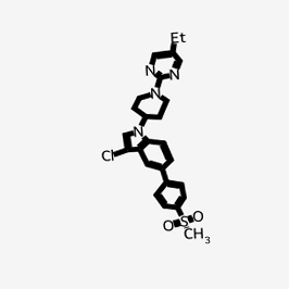 CCc1cnc(N2CCC(n3cc(Cl)c4cc(-c5ccc(S(C)(=O)=O)cc5)ccc43)CC2)nc1